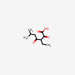 CCC(C(=O)CC(C)C)C(=O)C(=O)O